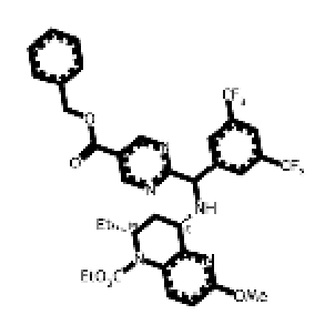 CCOC(=O)N1c2ccc(OC)nc2[C@@H](NC(c2cc(C(F)(F)F)cc(C(F)(F)F)c2)c2ncc(C(=O)OCc3ccccc3)cn2)C[C@H]1CC